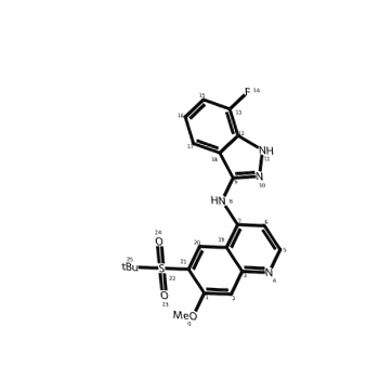 COc1cc2nccc(Nc3n[nH]c4c(F)cccc34)c2cc1S(=O)(=O)C(C)(C)C